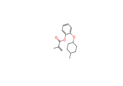 C=C(C)C(=O)Oc1ccccc1OC1CCC(C)CC1